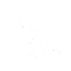 COc1cc(-n2cnc(Nc3nc(N4CCC[C@H]4C(N)=O)nc4ccn(S(=O)(=O)c5ccc(C)cc5)c34)c2)cc(C)c1C